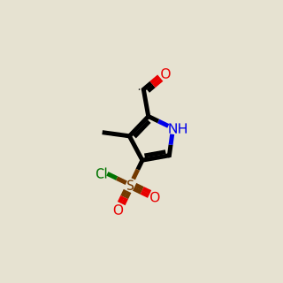 Cc1c(S(=O)(=O)Cl)c[nH]c1[C]=O